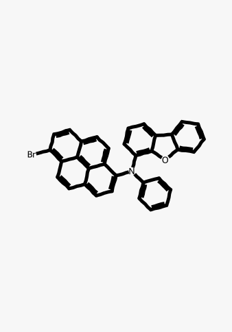 Brc1ccc2ccc3c(N(c4ccccc4)c4cccc5c4oc4ccccc45)ccc4ccc1c2c43